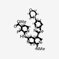 CNc1ncc(-c2nc3ccc(N4CCOCC4)cn3n2)c2cc(Nc3nccc(C(=O)OC)c3F)ncc12